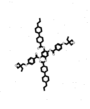 CCCC1CCC(C2CCC(C(=O)Oc3cc(OC(=O)c4ccc(OCC5(CC)COC5)cc4)c(OC(=O)C4CCC(C5CCC(CCC)CC5)CC4)cc3OC(=O)c3ccc(OCC4(CC)COC4)cc3)CC2)CC1